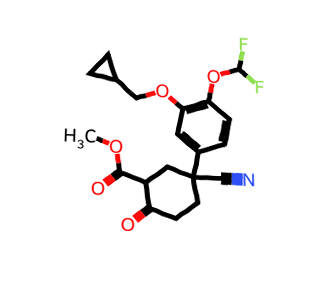 COC(=O)C1CC(C#N)(c2ccc(OC(F)F)c(OCC3CC3)c2)CCC1=O